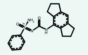 N[S@@](=O)(=NC(=O)Nc1c2c(cc3c1CCC3)CCC2)c1ccccc1